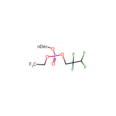 CCCCCCCCCCOP(=O)(OCC(F)(F)F)OCC(F)(F)C(F)F